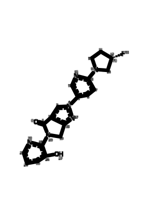 O=C1c2cn(-c3ccc(N4CC[C@H](F)C4)nc3)nc2CN1c1ncccc1O